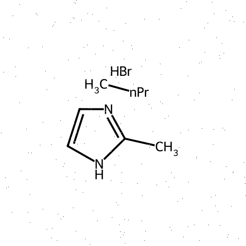 Br.CCCC.Cc1ncc[nH]1